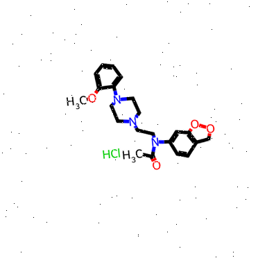 COc1ccccc1N1CCN(CCN(C(C)=O)c2ccc3c(c2)OOC3)CC1.Cl